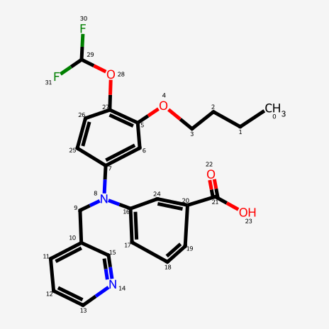 CCCCOc1cc(N(Cc2cccnc2)c2cccc(C(=O)O)c2)ccc1OC(F)F